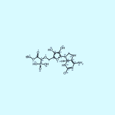 CC(C)(C)OC(=O)[C@@H](OCc1oc(N2CNC3=C(N)N=C(Cl)N[C@@H]32)c(O)c1O)P(=O)(O)O